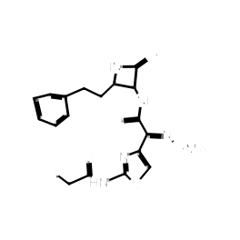 CON=C(C(=O)NC1C(=O)NC1CCc1ccccc1)c1csc(NC(=O)CCl)n1